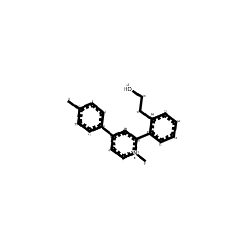 Cc1ccc(-c2cc[n+](C)c(-c3ccccc3CCO)c2)cc1